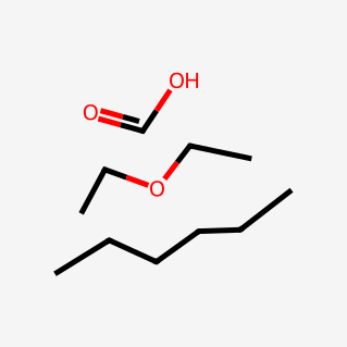 CCCCCC.CCOCC.O=CO